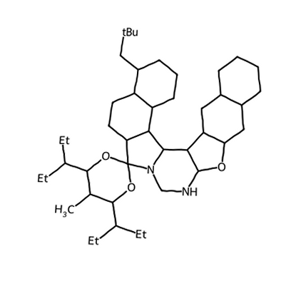 CCC(CC)C1OC2(OC(C(CC)CC)C1C)C1CCC3C(CC(C)(C)C)CCCC3C1C1C3C(NCN12)OC1CC2CCCCC2CC13